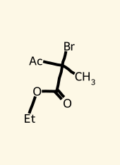 CCOC(=O)C(C)(Br)C(C)=O